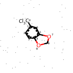 ClC(Cl)(Cl)c1ccc2c(c1)OCO2